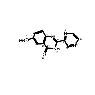 COc1ccc2nc(-c3cnccn3)[nH]c(=O)c2c1